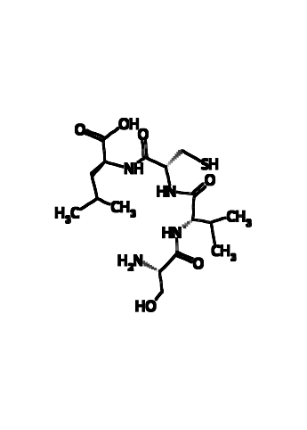 CC(C)C[C@H](NC(=O)[C@H](CS)NC(=O)[C@@H](NC(=O)[C@@H](N)CO)C(C)C)C(=O)O